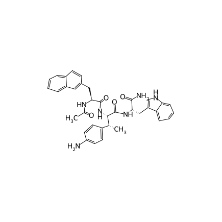 CC(=O)N[C@@H](Cc1ccc2ccccc2c1)C(=O)N[C@H](C(=O)N[C@@H](Cc1c[nH]c2ccccc12)C(N)=O)[C@H](C)c1ccc(N)cc1